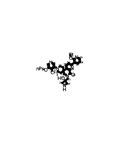 CCCOc1cncc(N2CCC3(CC2)CN(CC2(O)CNC2)C(=O)c2nc(-c4cccnc4OCC)ccc23)c1C(F)(F)F